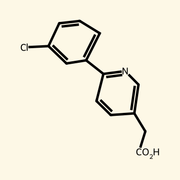 O=C(O)Cc1ccc(-c2cccc(Cl)c2)nc1